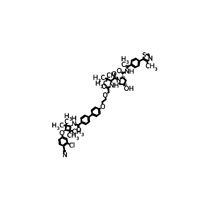 Cc1ncsc1-c1ccc([C@H](C)NC(=O)[C@@H]2C[C@@H](O)CN2C(=O)C(NC(=O)COCCOc2ccc(-c3ccc(C(=O)N[C@H]4C(C)(C)[C@H](Oc5ccc(C#N)c(Cl)c5)C4(C)C)cc3)cc2)C(C)(C)C)cc1